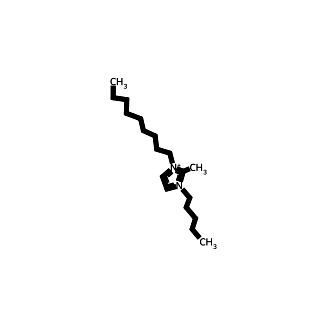 CCCCCCCCC[n+]1ccn(CCCCC)c1C